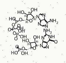 Nc1nc2c(ncn2[C@@H]2O[C@H](COP(=O)(O)O)[C@@H](O)[C@H]2O)c(=O)[nH]1.Nc1ncnc2c1ncn2[C@@H]1O[C@H](COP(=O)(O)OP(=O)(O)OP(=O)(O)O)[C@@H](O)[C@H]1O